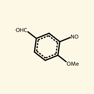 COc1ccc([C]=O)cc1N=O